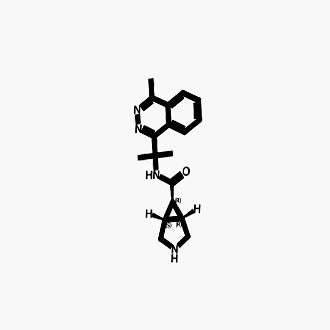 Cc1nnc(C(C)(C)NC(=O)[C@H]2[C@@H]3CNC[C@@H]32)c2ccccc12